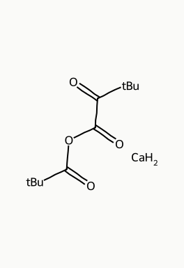 CC(C)(C)C(=O)OC(=O)C(=O)C(C)(C)C.[CaH2]